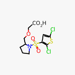 O=C(O)COCC1CCCN1S(=O)(=O)c1cc(Cl)sc1Cl